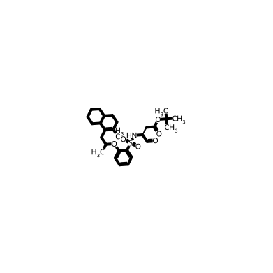 CC1=C(CC(C)Oc2ccccc2S(=O)(=O)N[C@H](C=O)CC(=O)OC(C)(C)C)C2CCCCC2CC1